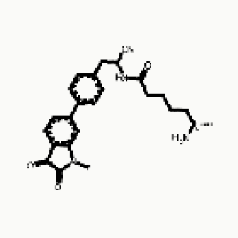 C[C@H](N)CCCCC(=O)NC(C#N)Cc1ccc(-c2ccc3c(c2)N(C)C(=O)C3=O)cc1